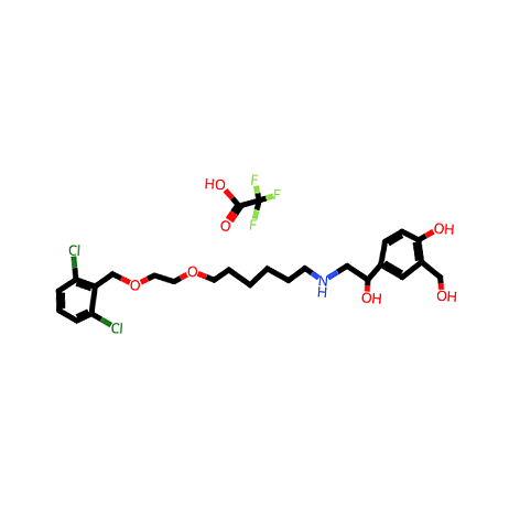 O=C(O)C(F)(F)F.OCc1cc(C(O)CNCCCCCCOCCOCc2c(Cl)cccc2Cl)ccc1O